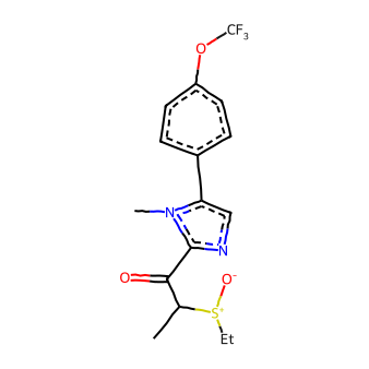 CC[S+]([O-])C(C)C(=O)c1ncc(-c2ccc(OC(F)(F)F)cc2)n1C